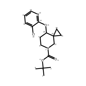 CC(C)(C)OC(=O)N1CCC(Oc2ncccc2Cl)C2(CC2)C1